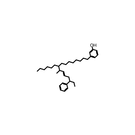 CCCCCCC(CCCCCCCCc1cccc(O)c1)C(C)C=CCC(CC)c1ccccc1